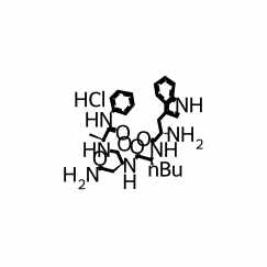 CCCC[C@H](NC(=O)[C@@H](N)Cc1c[nH]c2ccccc12)C(=O)N[C@@H](CC(N)=O)C(=O)N[C@@H](C)C(=O)Nc1ccccc1.Cl